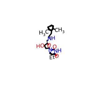 CCc1cn([C@H]2C[C@H](O)[C@@H](CNCCc3c(C)cccc3C)O2)c(=O)[nH]c1=O